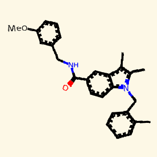 COc1cccc(CNC(=O)c2ccc3c(c2)c(C)c(C)n3Cc2ccccc2C)c1